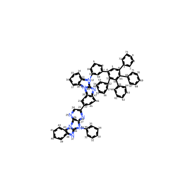 c1ccc(-c2cc(-c3cccc(-n4c5ccccc5n5c6cc(-c7cnc8c(n7)n(-c7ccccc7)c7nc9ccccc9n87)ccc6nc45)c3)c(-c3ccccc3)c(-c3ccccc3)c2-c2ccccc2)cc1